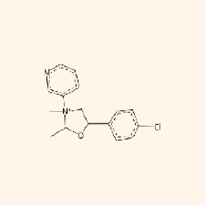 CC1OC(c2ccc(Cl)cc2)C[N+]1(C)c1cccnc1